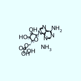 N.Nc1ncnc2c1ncn2[C@@H]1O[C@H](COP(=O)(O)O)[C@@H](O)[C@H]1O